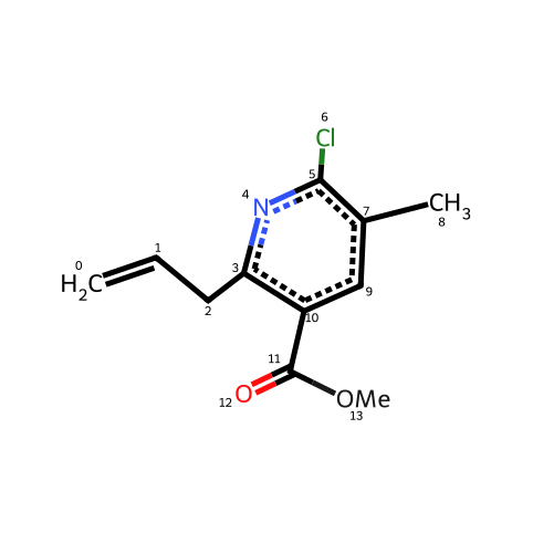 C=CCc1nc(Cl)c(C)cc1C(=O)OC